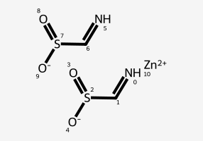 N=CS(=O)[O-].N=CS(=O)[O-].[Zn+2]